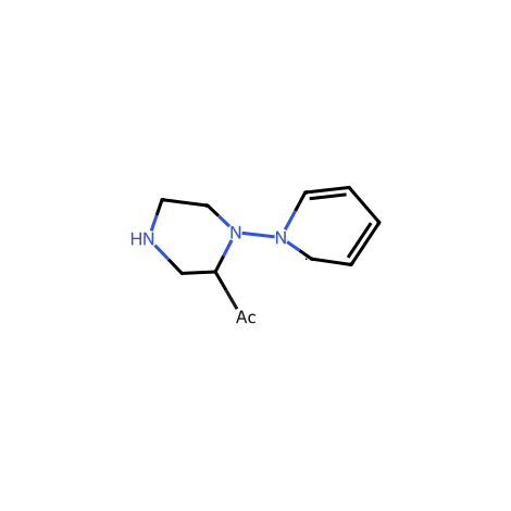 CC(=O)C1CNCCN1N1[CH]C=CC=C1